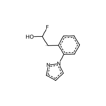 OC(F)[CH]c1ccccc1-n1cccn1